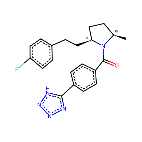 C[C@@H]1CC[C@H](CCc2ccc(F)cc2)N1C(=O)c1ccc(-c2nnn[nH]2)cc1